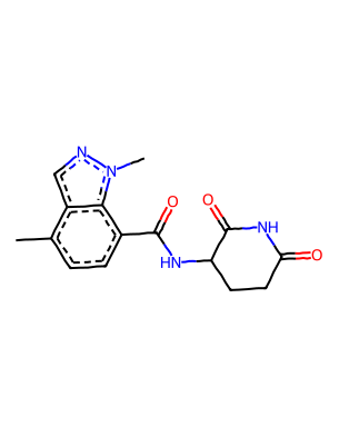 Cc1ccc(C(=O)NC2CCC(=O)NC2=O)c2c1cnn2C